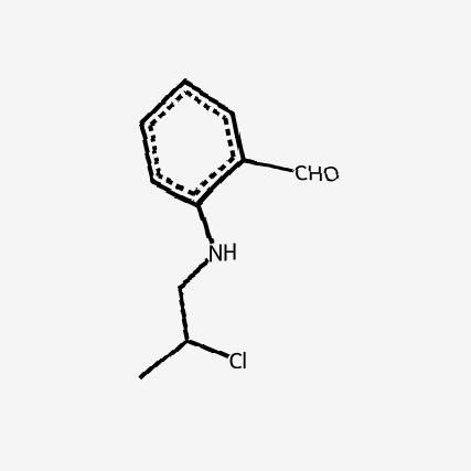 CC(Cl)CNc1ccccc1C=O